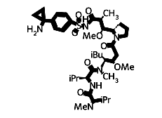 CC[C@H](C)[C@@H]([C@@H](CC(=O)N1CCC[C@H]1[C@H](OC)[C@@H](C)C(=O)NS(=O)(=O)c1ccc(C2(N)CC2)cc1)OC)N(C)C(=O)[C@@H](NC(=O)C(NC)C(C)C)C(C)C